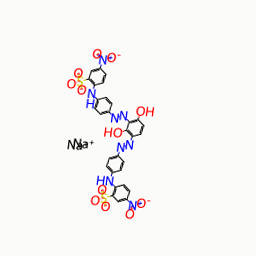 O=[N+]([O-])c1ccc(Nc2ccc(N=Nc3ccc(O)c(N=Nc4ccc(Nc5ccc([N+](=O)[O-])cc5S(=O)(=O)[O-])cc4)c3O)cc2)c(S(=O)(=O)[O-])c1.[Na+].[Na+]